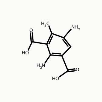 Cc1c(N)cc(C(=O)O)c(N)c1C(=O)O